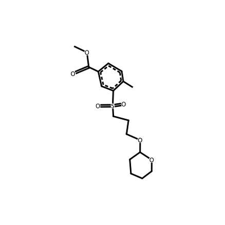 COC(=O)c1ccc(C)c(S(=O)(=O)CCCOC2CCCCO2)c1